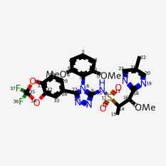 COc1cccc(OC)c1-n1c(NS(=O)(=O)C(C)C(OC)c2ncc(C)cn2)nnc1-c1ccc2c(c1)OC(F)(F)O2